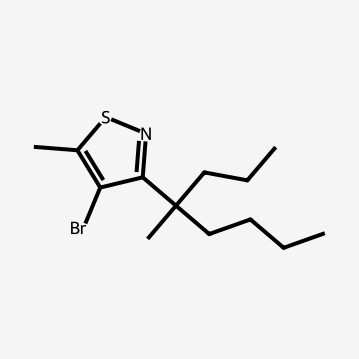 CCCCC(C)(CCC)c1nsc(C)c1Br